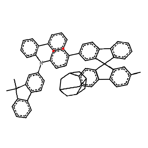 Cc1ccc2c(c1)C1(c3ccccc3-c3ccc(-c4ccc(N(c5ccc6c(c5)C(C)(C)c5ccccc5-6)c5ccccc5-c5ccccc5)cc4)cc31)c1cc3c(cc1-2)C1CC2CC(C1)CC3C2